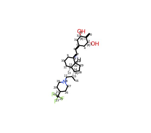 C=C1[C@H](O)CC(=C/C=C2\CCC[C@]3(C)[C@@H](C(C)CN4CCC(C(F)(F)F)CC4)CC[C@@H]23)C[C@H]1O